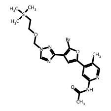 CC(=O)Nc1cc(-c2cc(-c3ncn(COCC[Si](C)(C)C)n3)c(Br)o2)c(C)cn1